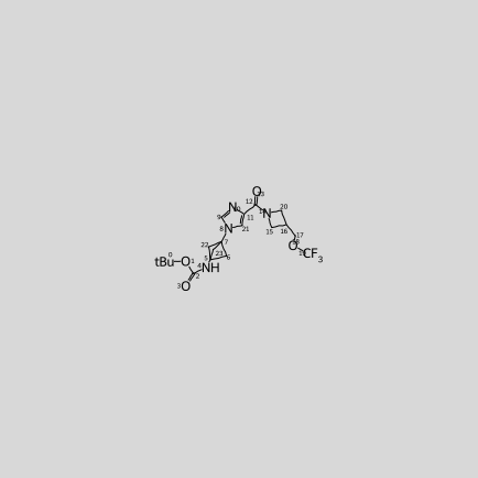 CC(C)(C)OC(=O)NC12CC(n3cnc(C(=O)N4CC(COC(F)(F)F)C4)c3)(C1)C2